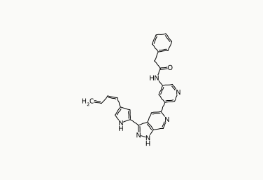 C=C/C=C\c1c[nH]c(-c2n[nH]c3cnc(-c4cncc(NC(=O)Cc5ccccc5)c4)cc23)c1